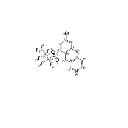 O=S(=O)(c1cc(Br)[c]c(Br)c1Cc1cccnc1)C(F)(F)C(F)(F)C(F)(F)F